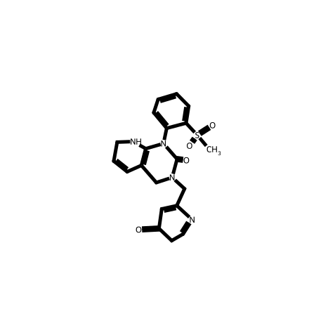 CS(=O)(=O)c1ccccc1N1C(=O)N(CC2=CC(=O)CC=N2)CC2=C1NCC=C2